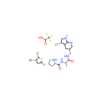 CC(NC(=O)[C@H]1C[C@H](Cc2cc(Br)c(Cl)s2)CN1)C(=O)NCc1cnc2c(c1)c(Cl)cn2C.O=C(O)C(F)(F)F